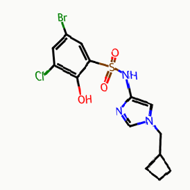 O=S(=O)(Nc1cn(CC2CCC2)cn1)c1cc(Br)cc(Cl)c1O